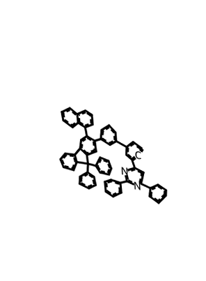 c1ccc(-c2cc(-c3cccc(-c4cccc(-c5cc6c(cc5-c5cccc7ccccc57)-c5ccccc5C6(c5ccccc5)c5ccccc5)c4)c3)nc(-c3ccccc3)n2)cc1